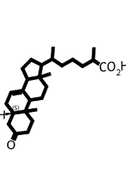 CC(CCCC(C)C1CCC2C3=CC[C@H]4CC(=O)CCC4(C)C3CCC21C)C(=O)O